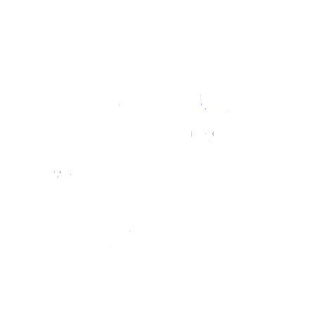 CCOc1cc(OC)cc(-c2ccc(NC3(C(=O)O)CCOCC3)cc2COC2CCCC2)c1